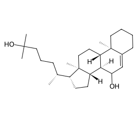 C[C@H](CCCC(C)(C)O)[C@H]1CC[C@H]2[C@@H]3C(O)C=C4CCCC[C@]4(C)[C@H]3CC[C@]12C